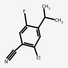 CC(C)c1cc(Cl)c(C#N)cc1F